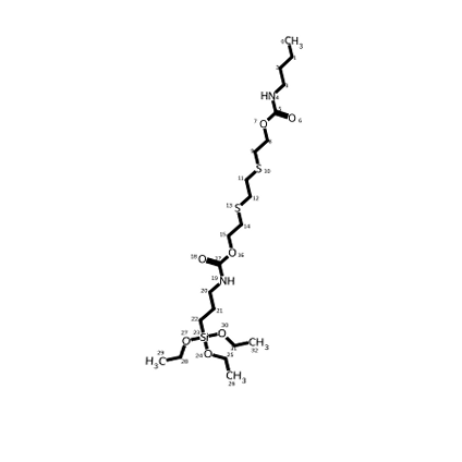 CCCCNC(=O)OCCSCCSCCOC(=O)NCCC[Si](OCC)(OCC)OCC